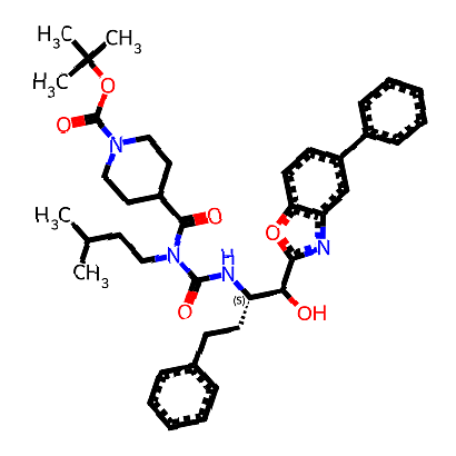 CC(C)CCN(C(=O)N[C@@H](CCc1ccccc1)C(O)c1nc2cc(-c3ccccc3)ccc2o1)C(=O)C1CCN(C(=O)OC(C)(C)C)CC1